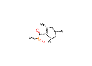 CCCCCC[PH](=O)C(=O)c1c(C(C)C)cc(C(C)C)cc1C(C)C